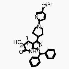 CC(C)Oc1ccc(N2CCC(c3nn(C(c4ccccc4)c4ccccc4)c4c3[C@H](C)[C@H](O)C(=O)N4)CC2)nc1